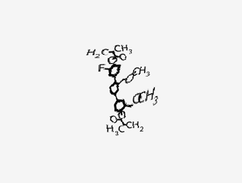 C=C(C)C(=O)Oc1ccc(-c2ccc(-c3ccc(OC(=O)C(=C)C)c(COC)c3)cc2COC)cc1F